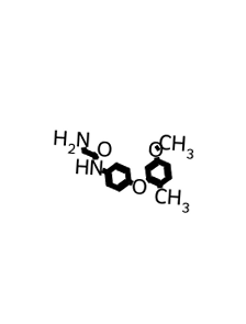 COc1ccc(C)c(Oc2ccc(NC(=O)CN)cc2)c1